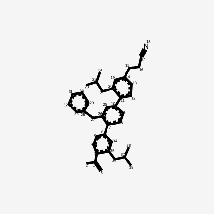 C=C(C)c1ccc(-c2ccc(-c3ccc(CCC#N)cc3CC(C)C)cc2Cc2ccccc2)cc1CC(C)C